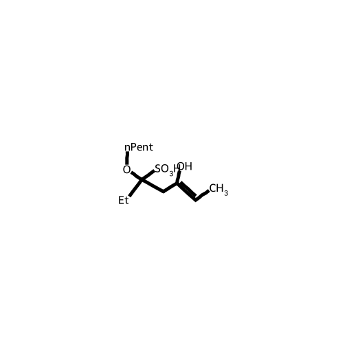 CC=C(O)CC(CC)(OCCCCC)S(=O)(=O)O